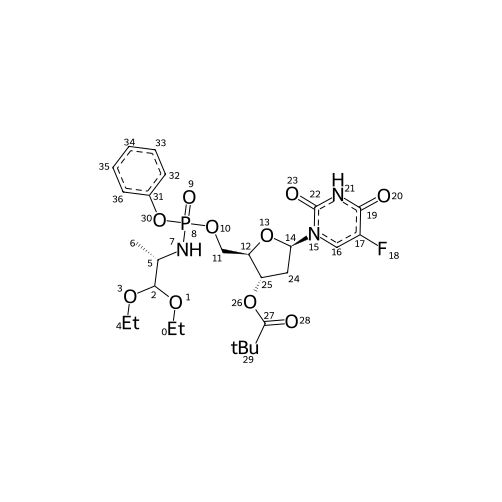 CCOC(OCC)[C@H](C)NP(=O)(OC[C@H]1O[C@@H](n2cc(F)c(=O)[nH]c2=O)C[C@@H]1OC(=O)C(C)(C)C)Oc1ccccc1